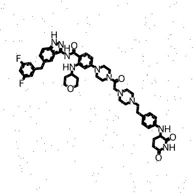 O=C1CCC(Nc2ccc(CCN3CCN(CC(=O)N4CCN(c5ccc(C(=O)Nc6n[nH]c7ccc(Cc8cc(F)cc(F)c8)cc67)c(NC6CCOCC6)c5)CC4)CC3)cc2)C(=O)N1